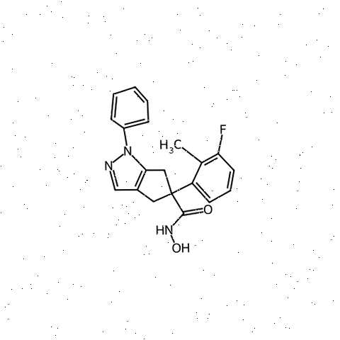 Cc1c(F)cccc1C1(C(=O)NO)Cc2cnn(-c3ccccc3)c2C1